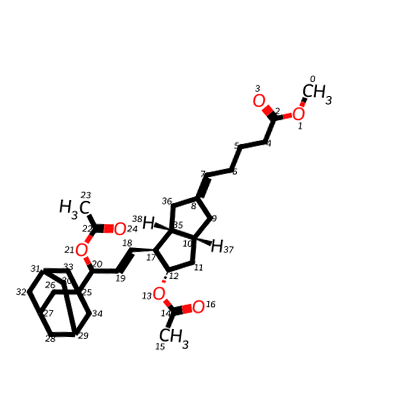 COC(=O)CCCC=C1C[C@@H]2C[C@H](OC(C)=O)[C@@H](C=CC(OC(C)=O)C34CC5CC(CC(C5)C3)C4)[C@@H]2C1